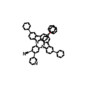 N#Cc1cc(-n2c3ccc(-c4ccccc4)cc3c3cc(-c4ccccc4)ccc32)c(-n2c3ccc(-c4ccccc4)cc3c3cc(-c4ccccc4)ccc32)cc1-c1cccnc1